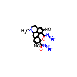 CN1CCc2cc(N=O)c(C(=O)N=[N+]=[N-])c3c2C1Cc1cc(N=O)c(C(=O)N=[N+]=[N-])cc1-3